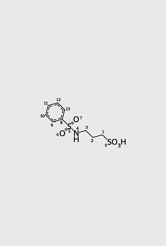 O=S(=O)(O)CCCNS(=O)(=O)c1[c]cccc1